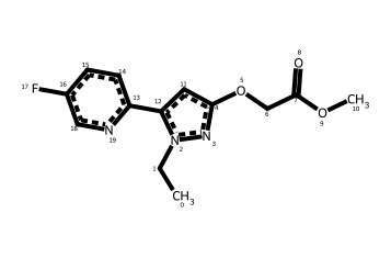 CCn1nc(OCC(=O)OC)cc1-c1ccc(F)cn1